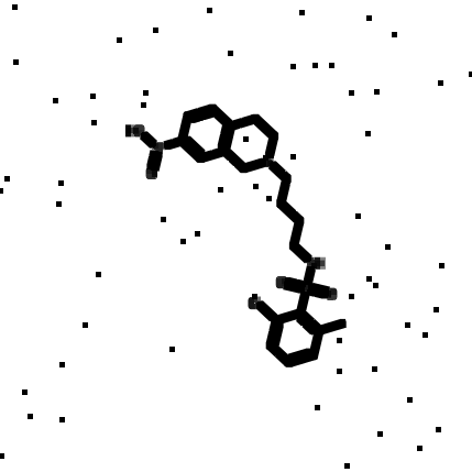 Cc1cccc(Cl)c1S(=O)(=O)NCCCCN1CCc2ccc([N+](=O)O)cc2C1